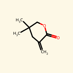 C=C1CC(C)(C)COC1=O